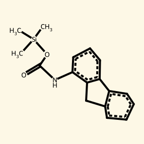 C[Si](C)(C)OC(=O)Nc1cccc2c1Cc1ccccc1-2